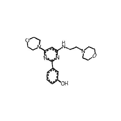 Oc1cccc(-c2nc(NCCN3CCOCC3)cc(N3CCOCC3)n2)c1